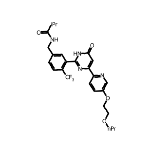 CCCOCCOc1ccc(-c2cc(=O)[nH]c(-c3cc(CNC(=O)C(C)C)ccc3C(F)(F)F)n2)nc1